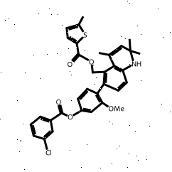 COc1cc(OC(=O)c2cccc(Cl)c2)ccc1-c1ccc2c(c1COC(=O)c1ccc(C)s1)C(C)=CC(C)(C)N2